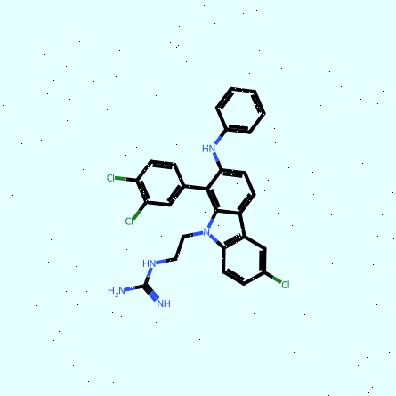 N=C(N)NCCn1c2ccc(Cl)cc2c2ccc(Nc3ccccc3)c(-c3ccc(Cl)c(Cl)c3)c21